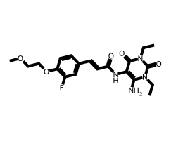 CCn1c(N)c(NC(=O)/C=C/c2ccc(OCCOC)c(F)c2)c(=O)n(CC)c1=O